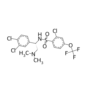 CN(C)C[C@@H](NS(=O)(=O)c1ccc(OC(F)(F)F)cc1Cl)c1ccc(Cl)c(Cl)c1